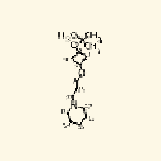 CC(C)(C)OC1CC(OCCCN2CCCCC2)C1